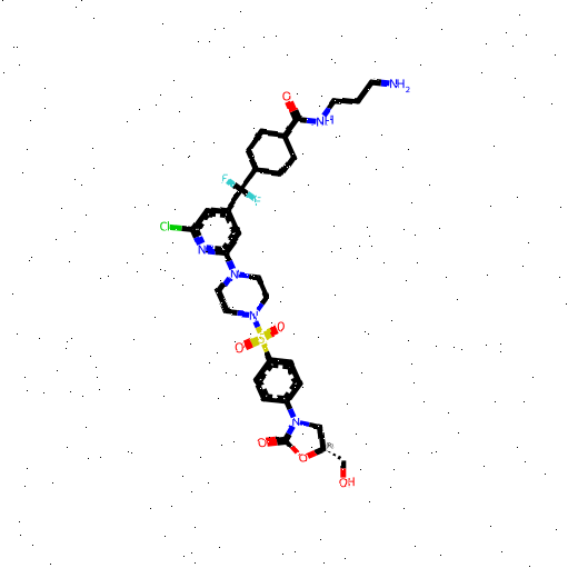 NCCCNC(=O)C1CCC(C(F)(F)c2cc(Cl)nc(N3CCN(S(=O)(=O)c4ccc(N5C[C@H](CO)OC5=O)cc4)CC3)c2)CC1